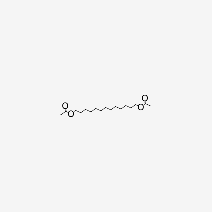 CC(=O)OCCCCCCCCCCCCCOC(C)=O